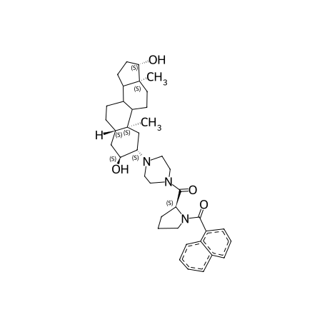 C[C@]12CCC3C(CC[C@H]4C[C@H](O)[C@@H](N5CCN(C(=O)[C@@H]6CCCN6C(=O)c6cccc7ccccc67)CC5)C[C@]34C)C1CC[C@@H]2O